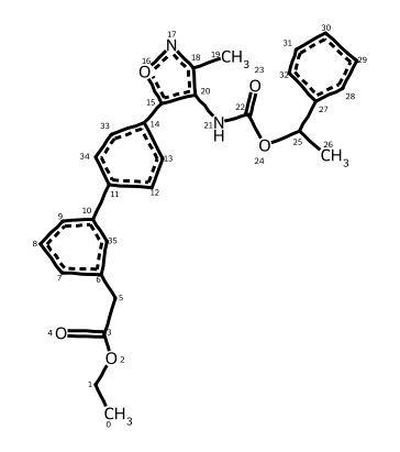 CCOC(=O)Cc1cccc(-c2ccc(-c3onc(C)c3NC(=O)OC(C)c3ccccc3)cc2)c1